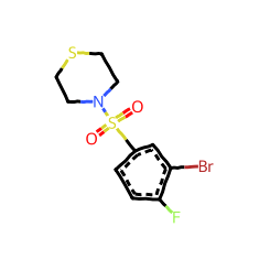 O=S(=O)(c1ccc(F)c(Br)c1)N1CCSCC1